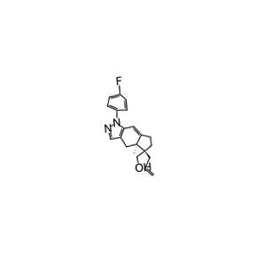 C=CC[C@]1(CO)CCC2=Cc3c(cnn3-c3ccc(F)cc3)C[C@@]21C